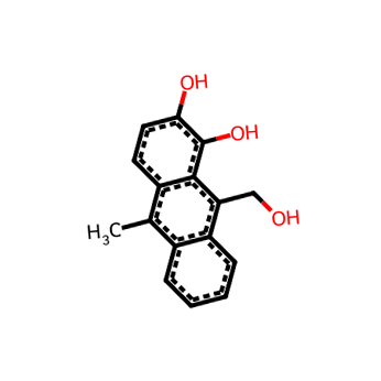 Cc1c2ccccc2c(CO)c2c(O)c(O)ccc12